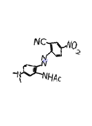 CC(=O)Nc1cc(N(C)C)ccc1/N=N/c1ccc([N+](=O)[O-])cc1C#N